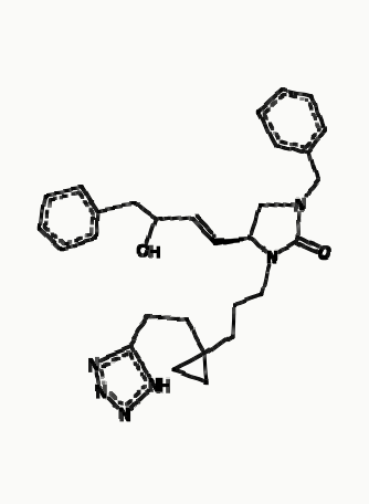 O=C1N(Cc2ccccc2)C[C@H](C=CC(O)Cc2ccccc2)N1CCCC1(CCc2nnn[nH]2)CC1